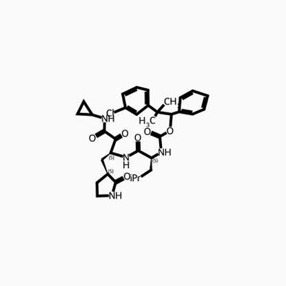 CC(C)C[C@H](NC(=O)OC(c1ccccc1)C(C)(C)c1cccc(Cl)c1)C(=O)N[C@@H](C[C@@H]1CCNC1=O)C(=O)C(=O)NC1CC1